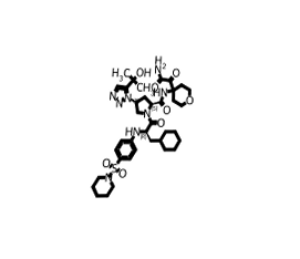 CC(C)(O)c1cnnn1[C@H]1C[C@@H](C(=O)NC2(C(=O)C(N)=O)CCOCC2)N(C(=O)[C@@H](CC2CCCCC2)Nc2ccc(S(=O)(=O)N3CCCCC3)cc2)C1